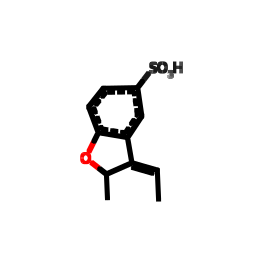 CC=C1c2cc(S(=O)(=O)O)ccc2OC1C